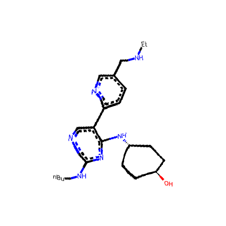 CCCCNc1ncc(-c2ccc(CNCC)cn2)c(N[C@H]2CC[C@H](O)CC2)n1